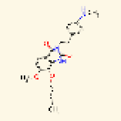 CCCCCOc1c(OC)ccc2c(=O)n(CCc3ccc(NC)cc3)c(=O)[nH]c12